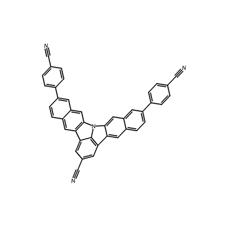 N#Cc1ccc(-c2ccc3cc4c5cc(C#N)cc6c7cc8ccc(-c9ccc(C#N)cc9)cc8cc7n(c4cc3c2)c56)cc1